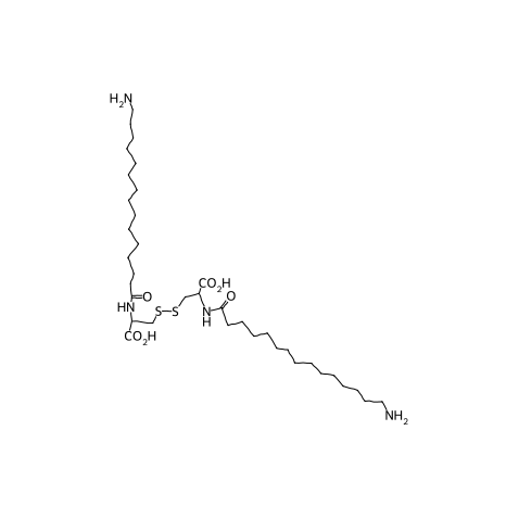 NCCCCCCCCCCCCCCC(=O)NC(CSSCC(NC(=O)CCCCCCCCCCCCCCN)C(=O)O)C(=O)O